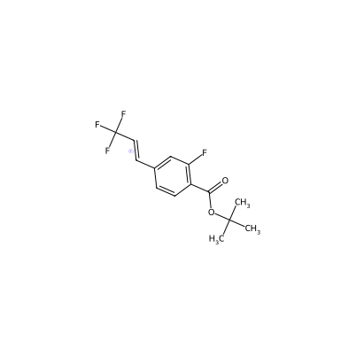 CC(C)(C)OC(=O)c1ccc(/C=C/C(F)(F)F)cc1F